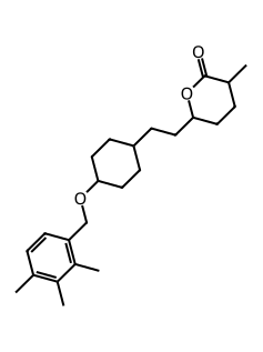 Cc1ccc(COC2CCC(CCC3CCC(C)C(=O)O3)CC2)c(C)c1C